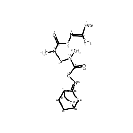 CSC(C)=NOC(=O)N(C)SN(C)C(=O)ON=C1SC2CCC1CC2